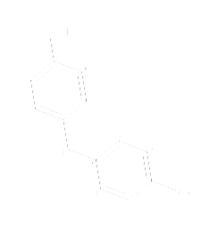 CC(C)(C)c1ccc(Cc2ccc(S(=O)(=O)O)cc2)cc1